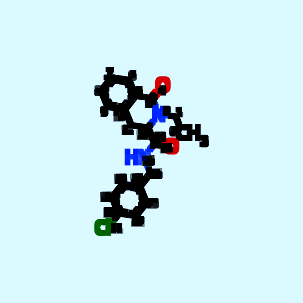 CCN1C(=O)c2c[c]ccc2CC1C(=O)NCc1ccc(Cl)cc1